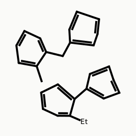 CCc1ccccc1-c1ccccc1.Cc1ccccc1Cc1ccccc1